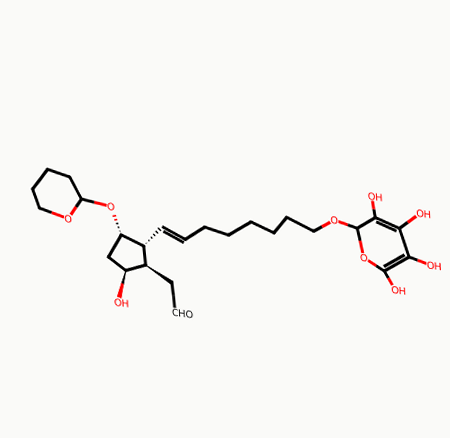 O=CC[C@@H]1[C@@H](C=CCCCCCCOC2OC(O)=C(O)C(O)=C2O)[C@@H](OC2CCCCO2)C[C@@H]1O